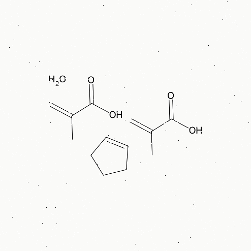 C1=CCCC1.C=C(C)C(=O)O.C=C(C)C(=O)O.O